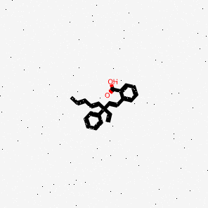 C=CC(C=CC=CC)(C=Cc1ccccc1C(=O)O)c1ccccc1